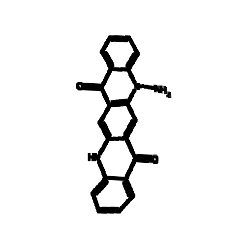 Nn1c2ccccc2c(=O)c2cc3[nH]c4ccccc4c(=O)c3cc21